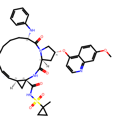 COc1ccc2c(O[C@@H]3C[C@H]4C(=O)N[C@]5(C(=O)NS(=O)(=O)C6(C)CC6)C[C@H]5/C=C\CCCCC[C@H](Nc5ccccc5)C(=O)N4C3)ccnc2c1